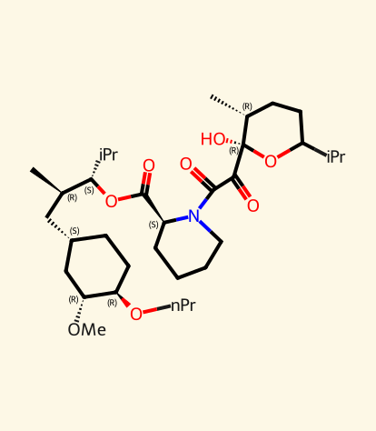 CCCO[C@@H]1CC[C@@H](C[C@@H](C)[C@@H](OC(=O)[C@@H]2CCCCN2C(=O)C(=O)[C@]2(O)OC(C(C)C)CC[C@H]2C)C(C)C)C[C@H]1OC